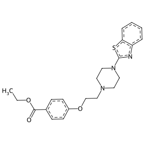 CCOC(=O)c1ccc(OCCN2CCN(c3nc4ccccc4s3)CC2)cc1